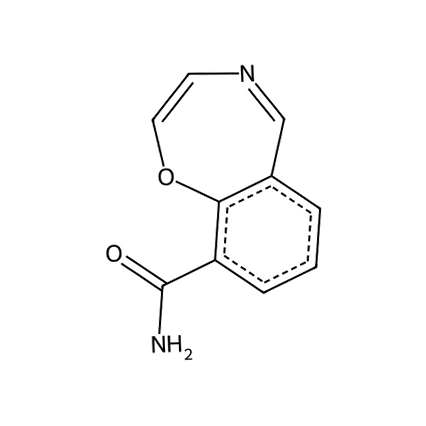 NC(=O)c1cccc2c1OC=CN=C2